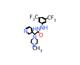 CN1CCN(C(C(=O)NNc2cc(C(F)(F)F)cc(C(F)(F)F)c2)c2cccnc2)CC1